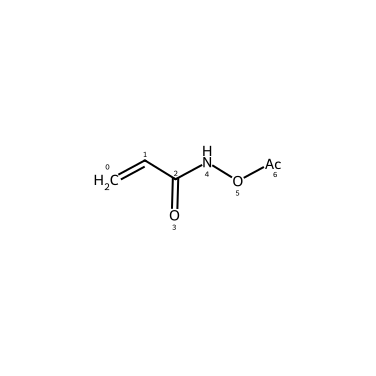 C=CC(=O)NOC(C)=O